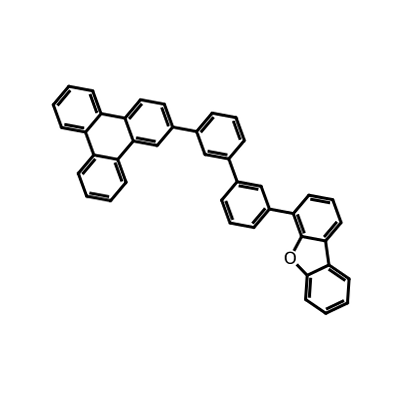 c1cc(-c2cccc(-c3cccc4c3oc3ccccc34)c2)cc(-c2ccc3c4ccccc4c4ccccc4c3c2)c1